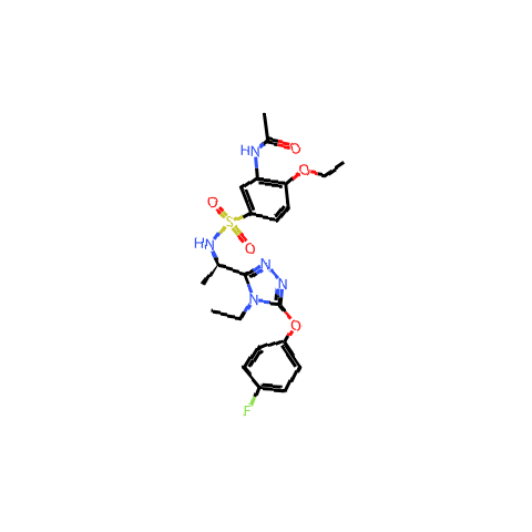 CCOc1ccc(S(=O)(=O)N[C@H](C)c2nnc(Oc3ccc(F)cc3)n2CC)cc1NC(C)=O